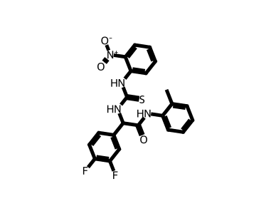 Cc1ccccc1NC(=O)C(NC(=S)Nc1ccccc1[N+](=O)[O-])c1ccc(F)c(F)c1